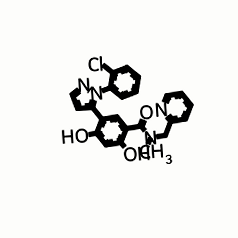 CN(Cc1ccccn1)C(=O)c1cc(-c2ccnn2-c2ccccc2Cl)c(O)cc1O